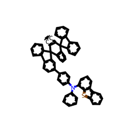 c1ccc(N(c2ccc(-c3ccc4c(c3)C3(c5ccccc5-4)c4ccccc4C4(c5ccccc5-c5ccccc54)c4ccccc43)cc2)c2cccc3c2sc2ccccc23)cc1